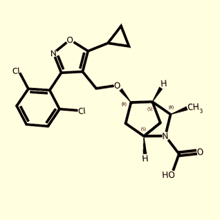 C[C@@H]1[C@@H]2C[C@@H](C[C@H]2OCc2c(-c3c(Cl)cccc3Cl)noc2C2CC2)N1C(=O)O